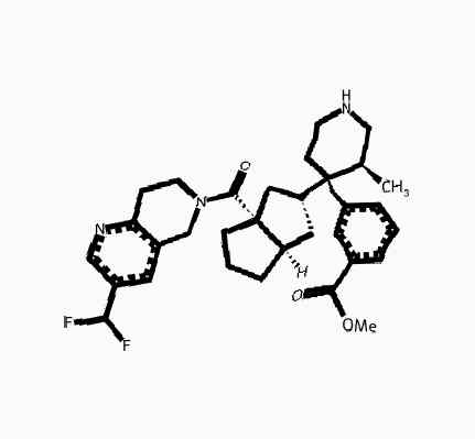 COC(=O)c1cccc([C@@]2([C@@H]3C[C@H]4CCC[C@@]4(C(=O)N4CCc5ncc(C(F)F)cc5C4)C3)CCNC[C@H]2C)c1